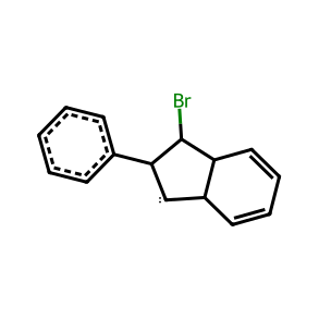 BrC1C(c2ccccc2)[C]C2C=CC=CC21